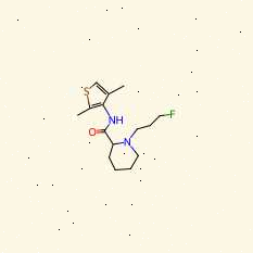 Cc1csc(C)c1NC(=O)C1CCCCN1CCCF